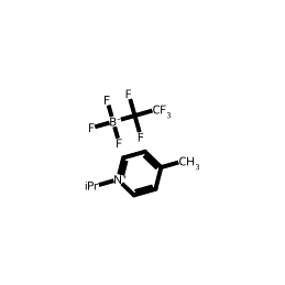 Cc1cc[n+](C(C)C)cc1.F[B-](F)(F)C(F)(F)C(F)(F)F